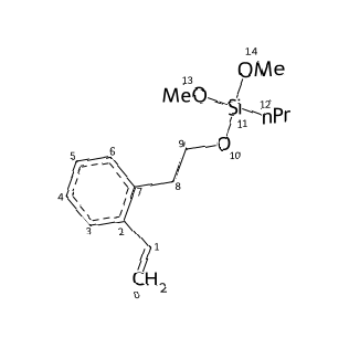 C=Cc1ccccc1CCO[Si](CCC)(OC)OC